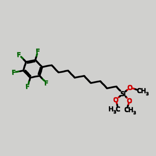 CO[Si](CCCCCCCCCc1c(F)c(F)c(F)c(F)c1F)(OC)OC